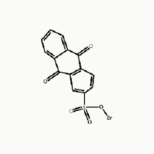 O=C1c2ccccc2C(=O)c2cc(S(=O)(=O)OBr)ccc21